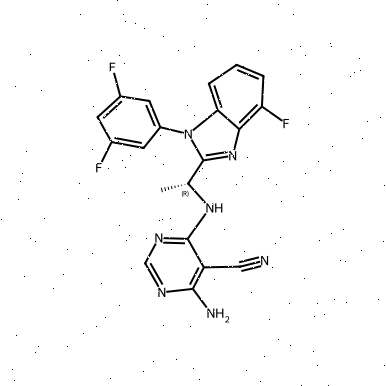 C[C@@H](Nc1ncnc(N)c1C#N)c1nc2c(F)cccc2n1-c1cc(F)cc(F)c1